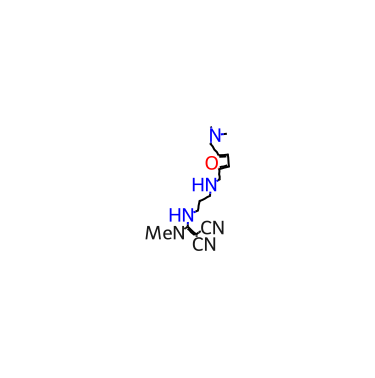 CNC(NCCCNCc1ccc(CN(C)C)o1)=C(C#N)C#N